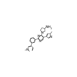 C=C/C(=C\N(C)C)c1cccc(-c2ncc(C3=CC(C)N=C3)c(N3CC[C@@H](N)C3)n2)c1